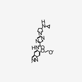 COCCOc1cc2nn(C)cc2cc1NC(=O)c1cnc(N2CCC(NC3CC3)C2)cn1